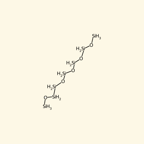 [SiH3]O[SiH2]O[SiH2]O[SiH2]O[SiH2][SiH2]O[SiH3]